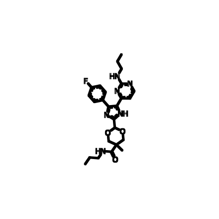 CCCNC(=O)C1(C)COC(c2nc(-c3ccc(F)cc3)c(-c3ccnc(NCCC)n3)[nH]2)OC1